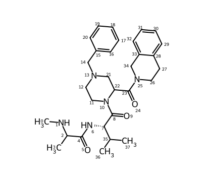 CNC(C)C(=O)N[C@H](C(=O)N1CCN(Cc2ccccc2)CC1C(=O)N1CCc2ccccc2C1)C(C)C